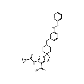 N#CCC1(n2cc(C(N)=O)c(NC(=O)C3CC3)n2)CCN(Cc2cccc(NSc3ccccc3)c2)CC1